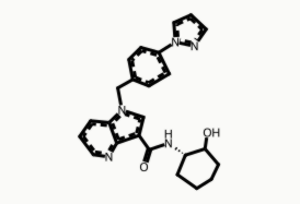 O=C(N[C@H]1CCCCC1O)c1cn(Cc2ccc(-n3cccn3)cc2)c2cccnc12